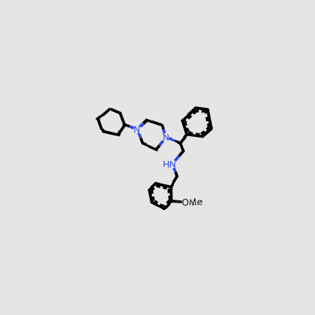 COc1ccccc1CNCC(c1ccccc1)N1CCN(C2CCCCC2)CC1